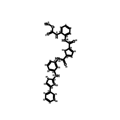 CC(C)(C)OC(=O)Nc1ccccc1NC(=O)c1ccc(C(=O)Nc2cccc(Nc3nc(-c4cccnc4)cs3)c2)s1